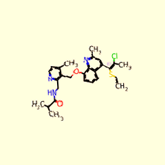 C=CS/C(=C(\C)Cl)c1cc(C)nc2c(OCc3c(C)ccnc3CNC(=O)C(C)C)cccc12